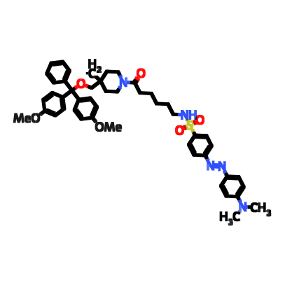 [CH2]C1(COC(c2ccccc2)(c2ccc(OC)cc2)c2ccc(OC)cc2)CCN(C(=O)CCCCCNS(=O)(=O)c2ccc(/N=N/c3ccc(N(C)C)cc3)cc2)CC1